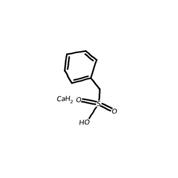 O=S(=O)(O)Cc1ccccc1.[CaH2]